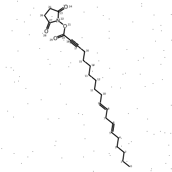 CCCCCC=CCC=CCCCCCCCC#CC(=O)ON1C(=O)CCC1=O